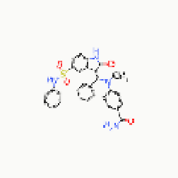 CN(/C(=C1\C(=O)Nc2ccc(S(=O)(=O)Nc3ccccc3)cc21)c1ccccc1)c1ccc(C(N)=O)cc1